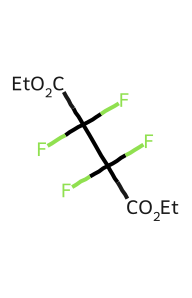 CCOC(=O)C(F)(F)C(F)(F)C(=O)OCC